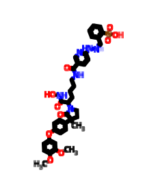 COc1ccc(Oc2ccc(C3(C)CCN(C(CCCCNC(=O)c4ccc(N/N=C\c5ccccc5S(=O)(=O)O)nc4)C(=O)NO)C3=O)cc2)cc1OC